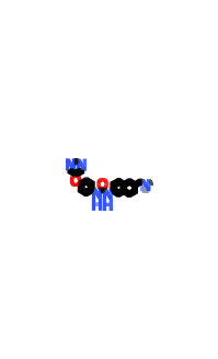 CN(C)CC1CCc2cc(NC(=O)Nc3ccc(Oc4cncnc4)cc3)ccc2C1